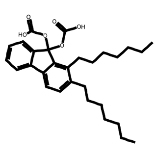 CCCCCCCc1ccc2c(c1CCCCCCC)C(OC(=O)O)(OC(=O)O)c1ccccc1-2